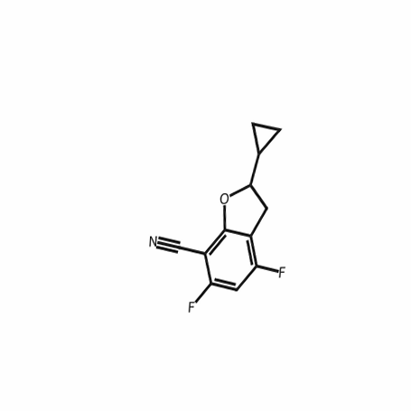 N#Cc1c(F)cc(F)c2c1OC(C1CC1)C2